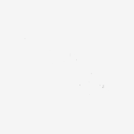 CCCCCCCCCC(C)(C)N.O